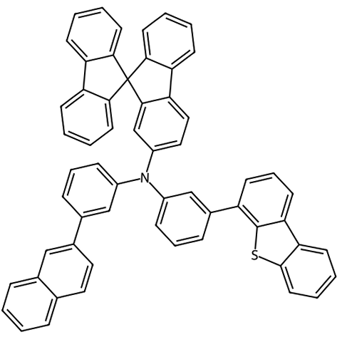 c1cc(-c2ccc3ccccc3c2)cc(N(c2cccc(-c3cccc4c3sc3ccccc34)c2)c2ccc3c(c2)C2(c4ccccc4-c4ccccc42)c2ccccc2-3)c1